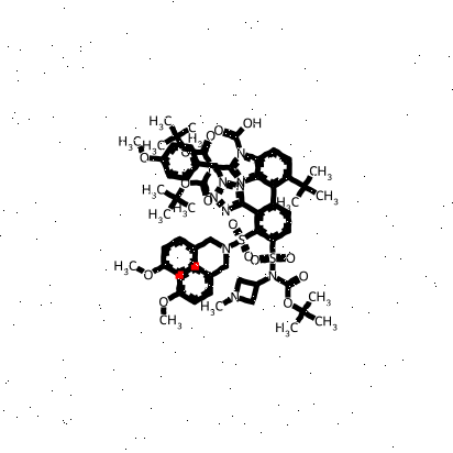 COc1ccc(CN(Cc2ccc(OC)cc2)S(=O)(=O)c2c(S(=O)(=O)N(C(=O)OC(C)(C)C)C3CN(C)C3)ccc(-c3c(C(C)(C)C)ccc4c3nc(N(C(=O)OC(C)(C)C)C(=O)OC(C)(C)C)n4C(=O)O)c2-c2nnn(Cc3ccc(OC)cc3)n2)cc1